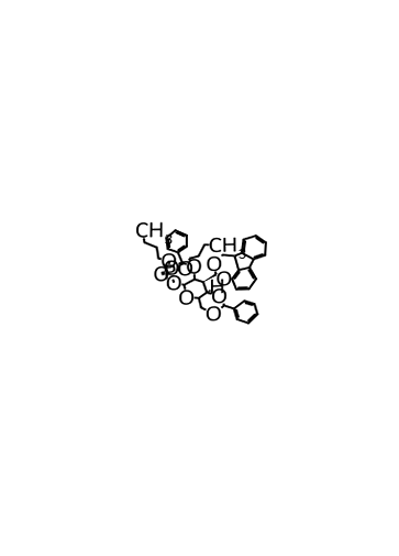 CCCCOP(=O)(OCCCC)OC1OC2COC(c3ccccc3)O[C@H]2[C@H](C(=O)OCC2c3ccccc3-c3ccccc32)C1OC(=O)c1ccccc1